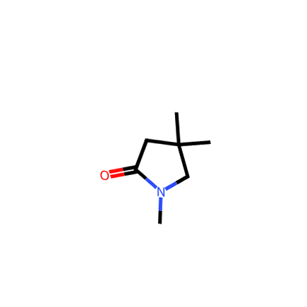 CN1CC(C)(C)CC1=O